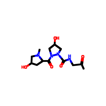 CC(=O)CNC(=O)N1CC(O)CN1C(=O)C1CC(O)CN1C